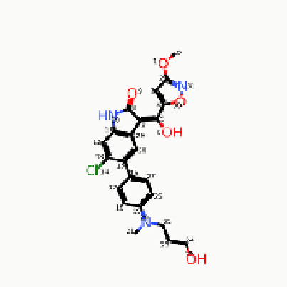 COc1cc(C(O)=C2C(=O)Nc3cc(Cl)c(-c4ccc(N(C)CCCO)cc4)cc32)on1